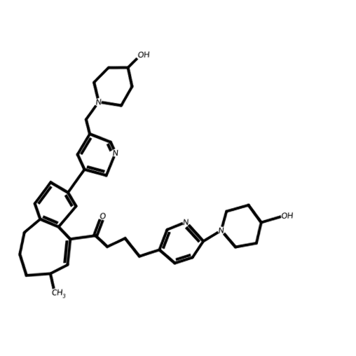 CC1/C=C(/C(=O)CCCc2ccc(N3CCC(O)CC3)nc2)c2cc(-c3cncc(CN4CCC(O)CC4)c3)ccc2CCC1